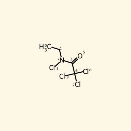 CCN(Cl)C(=O)C(Cl)(Cl)Cl